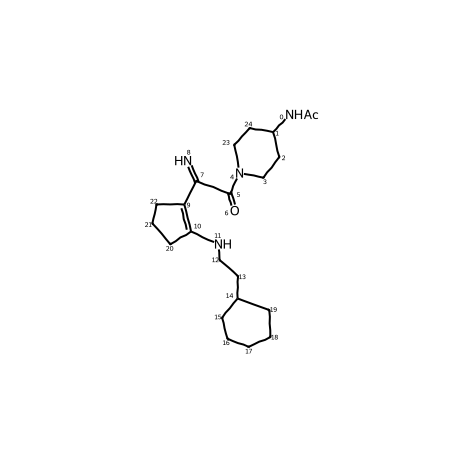 CC(=O)NC1CCN(C(=O)C(=N)C2=C(NCCC3CCCCC3)CCC2)CC1